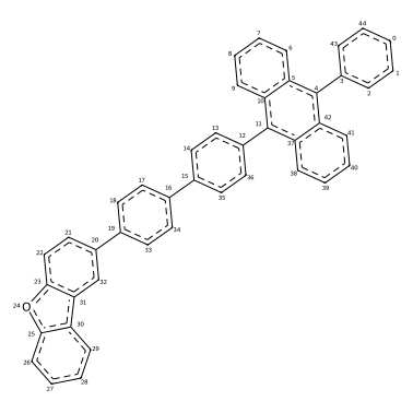 c1ccc(-c2c3ccccc3c(-c3ccc(-c4ccc(-c5ccc6oc7ccccc7c6c5)cc4)cc3)c3ccccc23)cc1